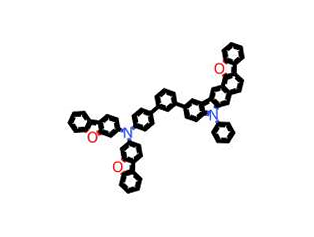 c1ccc(-n2c3ccc(-c4cccc(-c5ccc(N(c6ccc7c(c6)oc6ccccc67)c6ccc7c(c6)oc6ccccc67)cc5)c4)cc3c3cc4c(ccc5c6ccccc6oc45)cc32)cc1